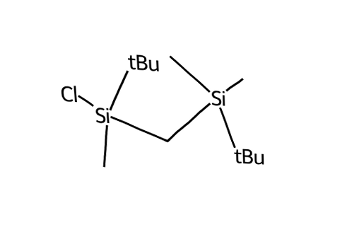 CC(C)(C)[Si](C)(C)C[Si](C)(Cl)C(C)(C)C